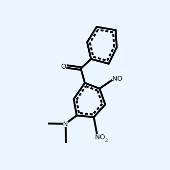 CN(C)c1cc(C(=O)c2ccccc2)c(N=O)cc1[N+](=O)[O-]